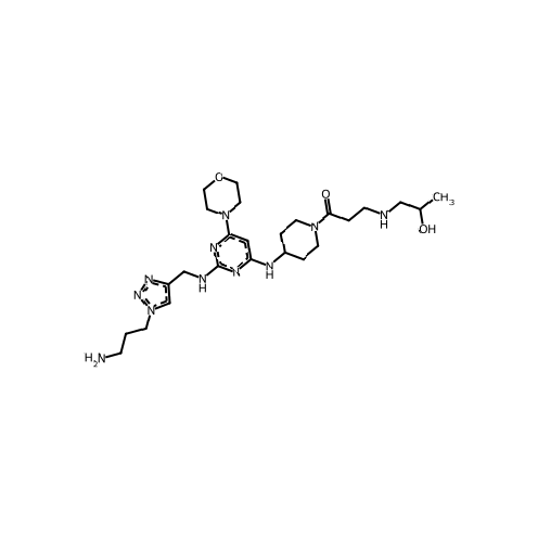 CC(O)CNCCC(=O)N1CCC(Nc2cc(N3CCOCC3)nc(NCc3cn(CCCN)nn3)n2)CC1